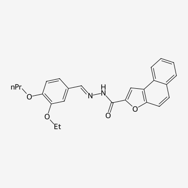 CCCOc1ccc(/C=N/NC(=O)c2cc3c(ccc4ccccc43)o2)cc1OCC